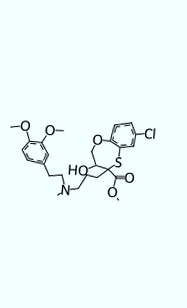 COC(=O)C1(CCCN(C)CCc2ccc(OC)c(OC)c2)Sc2cc(Cl)ccc2OCC1O